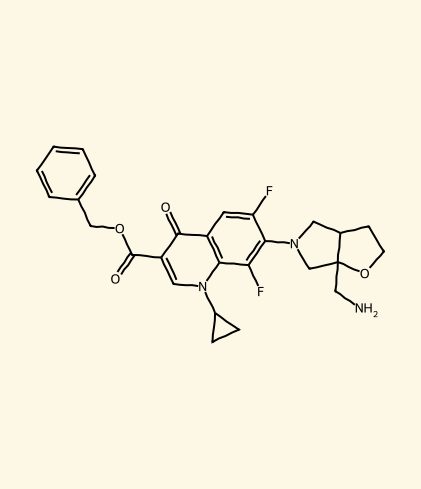 NCC12CN(c3c(F)cc4c(=O)c(C(=O)OCc5ccccc5)cn(C5CC5)c4c3F)CC1CCO2